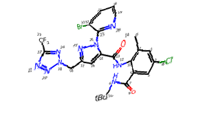 Cc1cc(Cl)cc(C(=O)NC(C)(C)C)c1NC(=O)c1cc(Cn2nnc(C(F)(F)F)n2)nn1-c1ncccc1Br